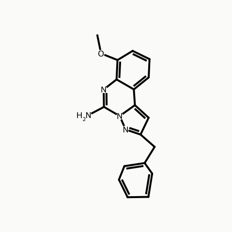 COc1cccc2c1nc(N)n1nc(Cc3ccccc3)cc21